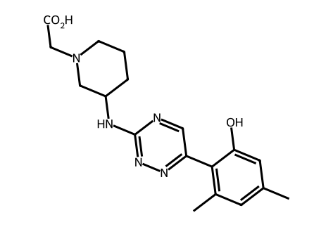 Cc1cc(C)c(-c2cnc(NC3CCCN(CC(=O)O)C3)nn2)c(O)c1